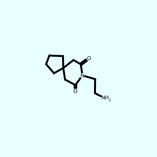 NCCN1C(=O)CC2(CCCC2)CC1=O